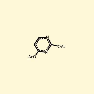 CC(=O)Oc1ccnc(OC(C)=O)n1